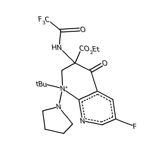 CCOC(=O)C1(NC(=O)C(F)(F)F)C[N+](N2CCCC2)(C(C)(C)C)c2ncc(F)cc2C1=O